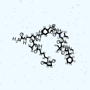 CN[C@H](C(=O)N[C@H](C(=O)N(C)[C@H](/C=C(\C)C(=O)NS(=O)(=O)Cc1ccc(NC[C@H](CCCNC(N)=O)NC(=O)[C@@H](NC(=O)CCCCCN2C(=O)C=CC2=O)C(C)C)cc1)C(C)C)C(C)(C)C)C(C)(C)c1ccccc1